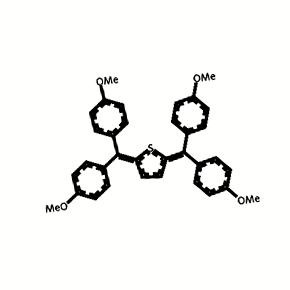 COc1ccc(C(c2ccc(OC)cc2)=c2ccc(=C(c3ccc(OC)cc3)c3ccc(OC)cc3)s2)cc1